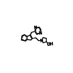 OC1CCN(CCC2=C(Cc3cnccn3)c3ccccc3C2)C1